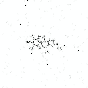 Bc1c(O)c(O)c(B)c2c(C(=O)c3ccc(OC)cc3)c(CC)oc12